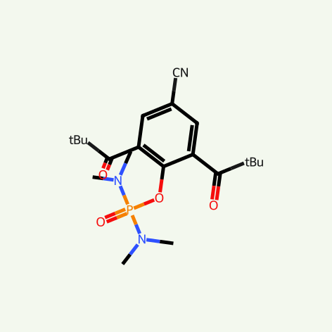 CN(C)P(=O)(Oc1c(C(=O)C(C)(C)C)cc(C#N)cc1C(=O)C(C)(C)C)N(C)C